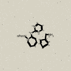 CCCCCN1C=CC=CC=C1Oc1ncccn1.NCc1ccccc1